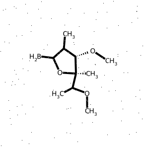 BC1O[C@](C)(C(C)OC)[C@@H](OC)C1C